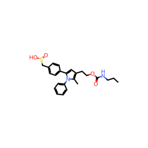 CCCNC(=O)OCCc1cc(-c2ccc(CS(=O)O)cc2)n(-c2ccccc2)c1C